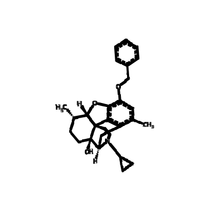 Cc1cc(OCc2ccccc2)c2c3c1C[C@H]1N(C4CC4)CC[C@@]34[C@@H](O2)[C@@H](C)CC[C@@]14O